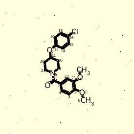 COc1ccc(C(=O)N2CCC(Oc3ccc(Cl)cc3)CC2)cc1OC